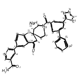 NC(=O)c1cncc(-c2ccc3c(c2)C(=O)CC2(CCN(C(=O)c4cc(-c5ccccc5)cc(-c5nnn[nH]5)c4)CC2)O3)c1.[NaH]